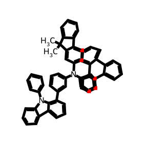 CC1(C)c2ccccc2-c2ccc(N(c3cccc(-c4cccc5c6ccccc6n(-c6ccccc6)c45)c3)c3ccccc3-c3ccccc3-c3ccccc3-c3ccccc3)cc21